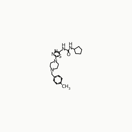 Cc1ccc(CN2CCN(c3nnc(NC(=O)NC4CCCC4)s3)CC2)cc1